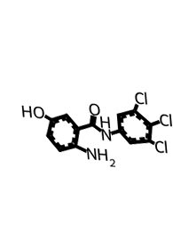 Nc1ccc(O)cc1C(=O)Nc1cc(Cl)c(Cl)c(Cl)c1